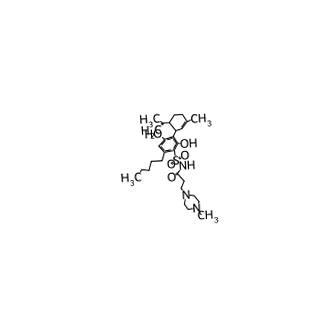 C=C(C)C1CCC(C)=CC1c1c(O)cc(CCCCC)c(S(=O)(=O)NC(=O)CCN2CCN(C)CC2)c1O